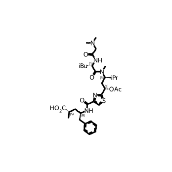 CCC(C)[C@H](NC(=O)CN(C)C)C(=O)N(C)[C@H](C[C@H](OC(C)=O)c1nc(C(=O)N[C@@H](Cc2ccccc2)C[C@H](C)C(=O)O)cs1)C(C)C